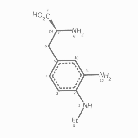 CCNc1ccc(C[C@H](N)C(=O)O)cc1N